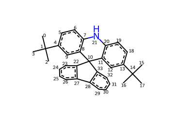 CC(C)(C)c1ccc2c(c1)C1(c3cc(C(C)(C)C)ccc3N2)c2ccccc2-c2ccccc21